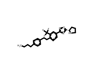 CCCCc1ccc(CCc2ccc(-c3noc([C@@H]4CCCN4)n3)cc2C(F)(F)F)cc1